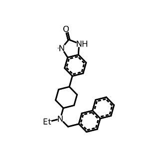 CCN(Cc1ccc2ccccc2c1)C1CCC(c2ccc3c(c2)[N]C(=O)N3)CC1